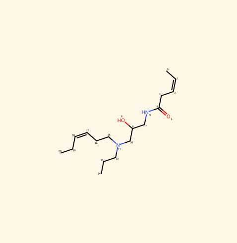 C/C=C\CC(=O)NCC(O)CN(CCC)CC/C=C\CC